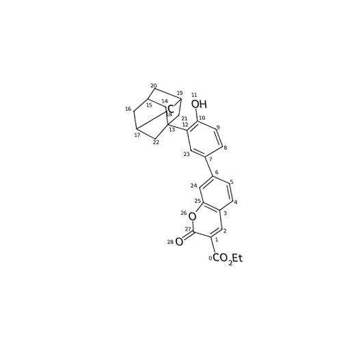 CCOC(=O)c1cc2ccc(-c3ccc(O)c(C45CC6CC(CC(C6)C4)C5)c3)cc2oc1=O